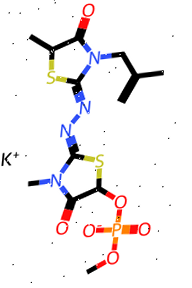 C=C(C)CN1C(=O)C(C)SC1=NN=C1SC(OP(=O)([O-])OC)C(=O)N1C.[K+]